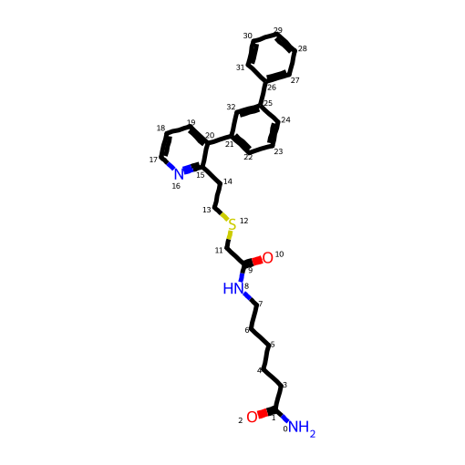 NC(=O)CCCCCNC(=O)CSCCc1ncccc1-c1cccc(-c2ccccc2)c1